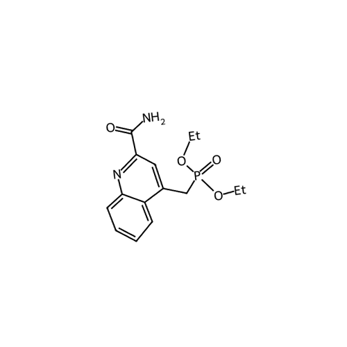 CCOP(=O)(Cc1cc(C(N)=O)nc2ccccc12)OCC